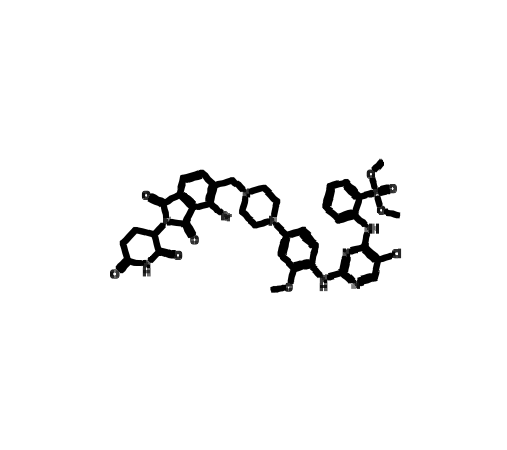 COc1cc(N2CCN(Cc3ccc4c(c3Br)C(=O)N(C3CCC(=O)NC3=O)C4=O)CC2)ccc1Nc1ncc(Cl)c(Nc2ccccc2P(=O)(OC)OC)n1